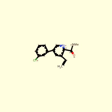 C=Cc1cc(-c2cccc(Cl)c2)cnc1C(=O)NC